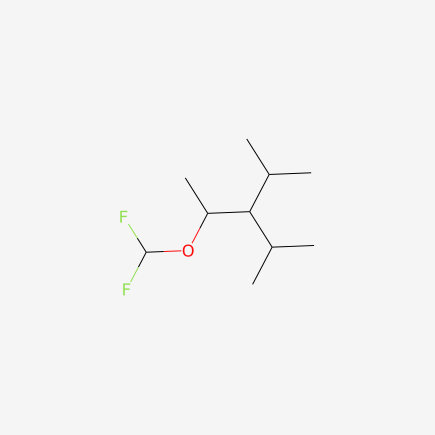 CC(C)C(C(C)C)C(C)OC(F)F